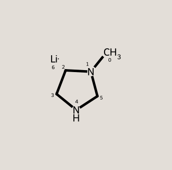 CN1CCNC1.[Li]